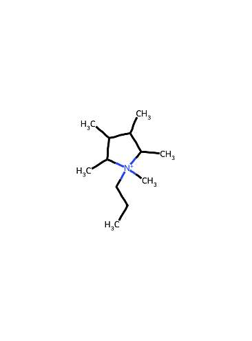 CCC[N+]1(C)C(C)C(C)C(C)C1C